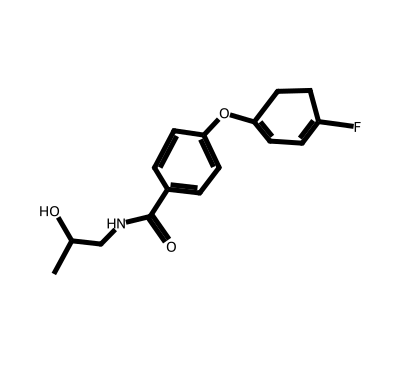 CC(O)CNC(=O)c1ccc(OC2=CC=C(F)CC2)cc1